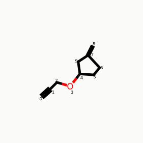 C#CCOC1CCC(=C)C1